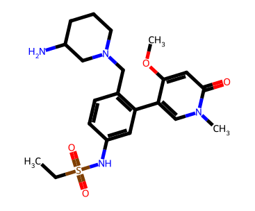 CCS(=O)(=O)Nc1ccc(CN2CCCC(N)C2)c(-c2cn(C)c(=O)cc2OC)c1